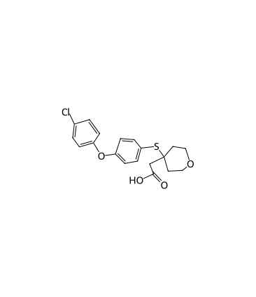 O=C(O)CC1(Sc2ccc(Oc3ccc(Cl)cc3)cc2)CCOCC1